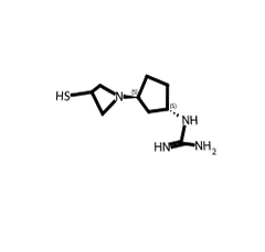 N=C(N)N[C@H]1CC[C@H](N2CC(S)C2)C1